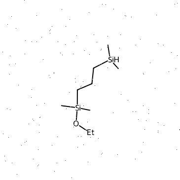 CCO[Si](C)(C)CCC[SiH](C)C